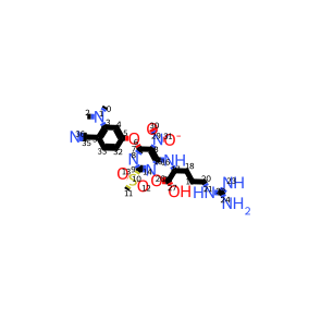 CN(C)c1cc(Oc2nc(S(C)(=O)=O)nc(NC(CCCNC(=N)N)C(=O)O)c2[N+](=O)[O-])ccc1C#N